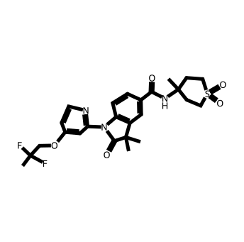 CC(F)(F)COc1ccnc(N2C(=O)C(C)(C)c3cc(C(=O)NC4(C)CCS(=O)(=O)CC4)ccc32)c1